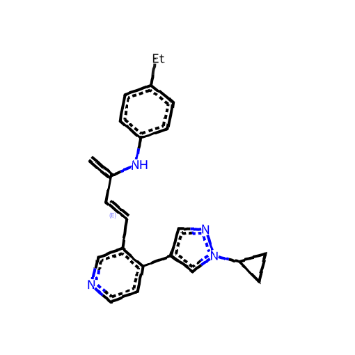 C=C(/C=C/c1cnccc1-c1cnn(C2CC2)c1)Nc1ccc(CC)cc1